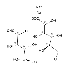 O=C([O-])[C@H](O)[C@@H](O)[C@H](O)[C@H](O)CO.O=C[C@H](O)[C@@H](O)[C@H](O)[C@H](O)C(=O)[O-].[Na+].[Na+]